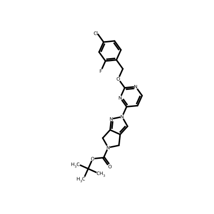 CC(C)(C)OC(=O)N1Cc2cn(-c3ccnc(OCc4ccc(Cl)cc4F)n3)nc2C1